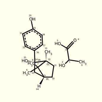 CC(O)C(=O)O.CC1(C)[C@@H]2CC[C@]1(C)[C@](O)(c1ccc(O)cc1)C2